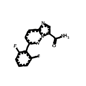 NC(=O)c1cnc2ccc(-c3c(F)cccc3F)nn12